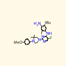 COc1ccc(N2CCN(c3ncc(F)c(Nc4cc(C(C)(C)C)c(N)cc4C)n3)CC2(C)C)cc1